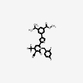 COC(=O)c1cc(-c2csc(-c3cc(C(F)(F)F)c(C#N)c(=O)n3Cc3ccc(F)cc3F)c2)cc(C(C)C)c1